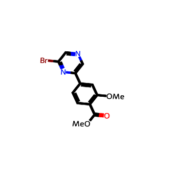 COC(=O)c1ccc(-c2cncc(Br)n2)cc1OC